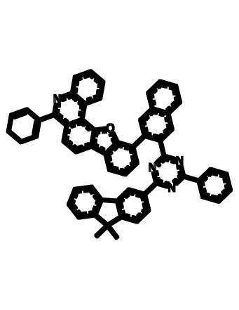 CC1(C)c2ccccc2-c2cc(-c3nc(-c4ccccc4)nc(-c4cc5ccccc5cc4-c4cccc5c4oc4c5ccc5c(C6=CCCC=C6)nc6ccccc6c54)n3)ccc21